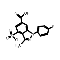 Cc1nn(-c2ccc(F)cc2)c2cc(C(=O)O)cc(S(=O)(=O)Cl)c12